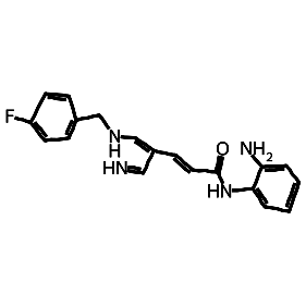 N=CC(=C\NCc1ccc(F)cc1)/C=C/C(=O)Nc1ccccc1N